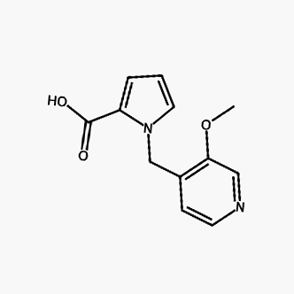 COc1cnccc1Cn1cccc1C(=O)O